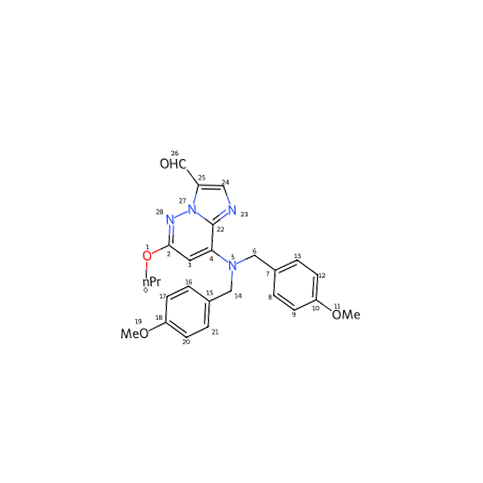 CCCOc1cc(N(Cc2ccc(OC)cc2)Cc2ccc(OC)cc2)c2ncc(C=O)n2n1